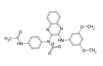 COc1cc(Nc2nc3ccccc3nc2N(c2ccc(NC(C)=O)cc2)[SH](=O)=O)cc(OC)c1